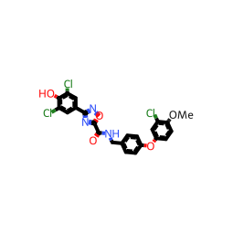 COc1ccc(Oc2ccc(CNC(=O)c3nc(-c4cc(Cl)c(O)c(Cl)c4)no3)cc2)cc1Cl